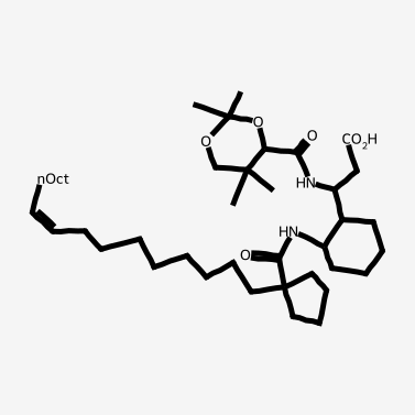 CCCCCCCC/C=C\CCCCCCCCC1(C(=O)NC2CCCCC2C(CC(=O)O)NC(=O)C2OC(C)(C)OCC2(C)C)CCCC1